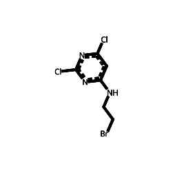 Clc1cc(NCCBr)nc(Cl)n1